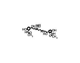 CC(=O)Nc1cc(C(O)CNCCCCCCNCC(O)c2ccc(O)c(NC(C)=O)c2)ccc1O.Cl.Cl